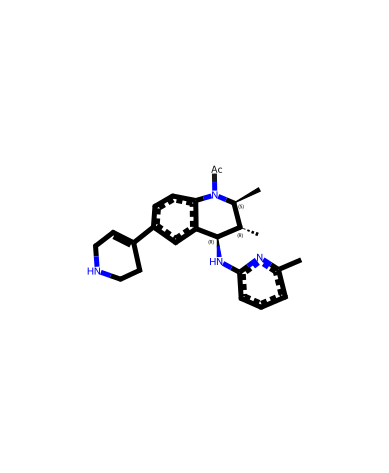 CC(=O)N1c2ccc(C3=CCNCC3)cc2[C@H](Nc2cccc(C)n2)[C@@H](C)[C@@H]1C